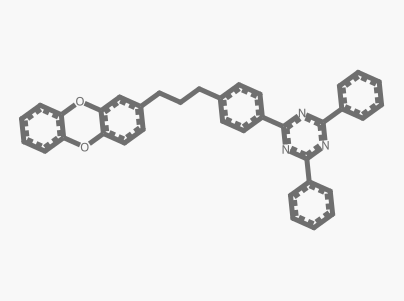 c1ccc(-c2nc(-c3ccccc3)nc(-c3ccc(CCCc4ccc5c(c4)Oc4ccccc4O5)cc3)n2)cc1